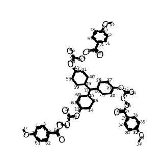 COc1ccc(C(=O)OOC(=O)OC2CCC(C(C3CCC(OC(=O)OOC(=O)c4ccc(OC)cc4)CC3)C3CCC(OC(=O)OOC(=O)c4ccc(OC)cc4)CC3)CC2)cc1